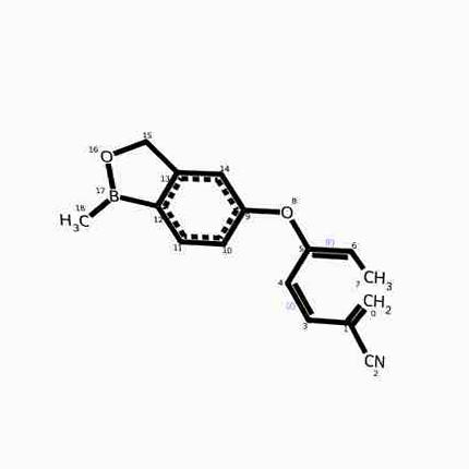 C=C(C#N)/C=C\C(=C/C)Oc1ccc2c(c1)COB2C